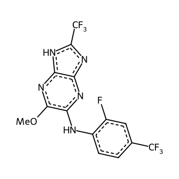 COc1nc2[nH]c(C(F)(F)F)nc2nc1Nc1ccc(C(F)(F)F)cc1F